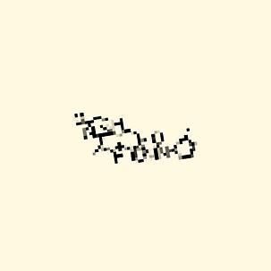 CC1=C2N(C)C(=O)CC[C@]2(C)[C@H]2CC[C@]3(C)[C@@H](C(=O)Nc4cccc(C)c4)CC[C@H]3[C@@H]2C1